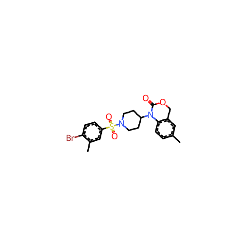 Cc1ccc2c(c1)COC(=O)N2C1CCN(S(=O)(=O)c2ccc(Br)c(C)c2)CC1